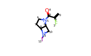 C=C(F)C(=O)N1CCC2C1CN2I